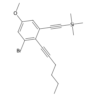 CCCCC#Cc1c(Br)cc(OC)cc1C#C[Si](C)(C)C